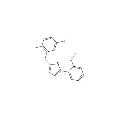 COc1ccccc1-c1ccc(Cc2cc(I)ccc2C)s1